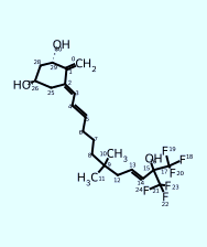 C=C1C(=CC=CCCCC(C)(C)CC=CC(O)(C(F)(F)F)C(F)(F)F)C[C@@H](O)C[C@@H]1O